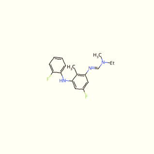 CCN(C)C=Nc1cc(F)cc(Nc2ccccc2F)c1C